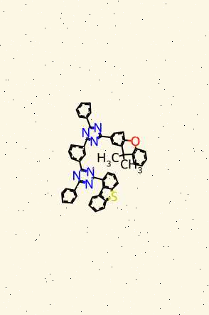 CC1(C)c2ccccc2Oc2ccc(-c3nc(-c4ccccc4)nc(-c4cccc(-c5nc(-c6ccccc6)nc(-c6cccc7sc8ccccc8c67)n5)c4)n3)cc21